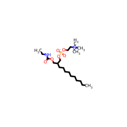 CCCCCCCCCCC(COC(=O)NCC)COP(=O)([O-])OCC[N+](C)(C)C